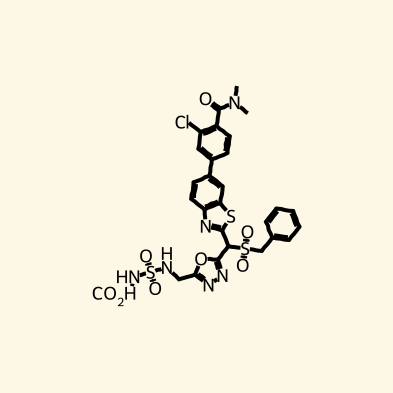 CN(C)C(=O)c1ccc(-c2ccc3nc(C(c4nnc(CNS(=O)(=O)NC(=O)O)o4)S(=O)(=O)Cc4ccccc4)sc3c2)cc1Cl